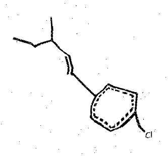 CCC(C)C=Cc1ccc(Cl)cc1